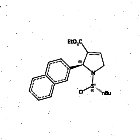 CCCC[S@+]([O-])N1CC=C(C(=O)OCC)[C@@H]1c1ccc2ccccc2c1